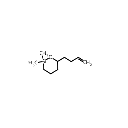 C=CCCC1CCC[Si](C)(C)O1